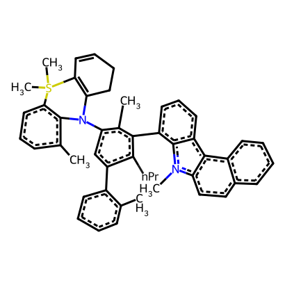 CCCc1c(-c2ccccc2C)cc(N2C3=C(C=CCC3)S(C)(C)c3cccc(C)c32)c(C)c1-c1cccc2c3c4ccccc4ccc3n(C)c12